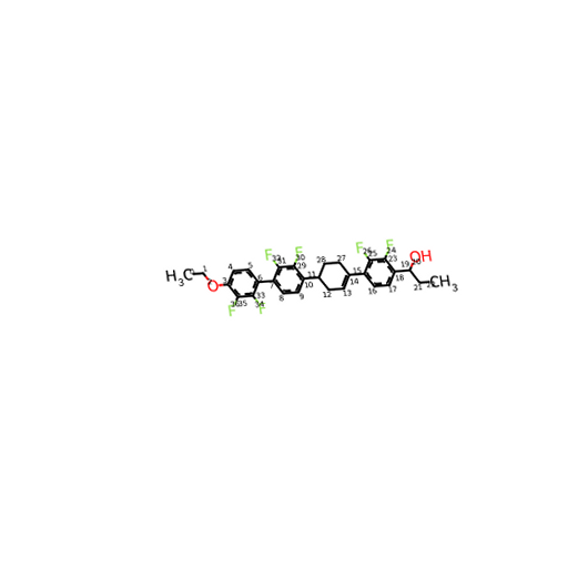 CCOc1ccc(-c2ccc(C3CC=C(c4ccc(C(O)CC)c(F)c4F)CC3)c(F)c2F)c(F)c1F